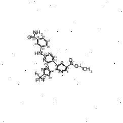 CCOC(=O)c1cncc(-c2cnc(Nc3cccc(C(N)=O)c3)nc2-n2ccc(C(F)(F)F)n2)c1